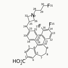 O=C(O)c1ccc2c(c1)CCCC(c1ccc(F)c(F)c1)=C2c1ccc(CC2CN(CCCF)C2)cc1